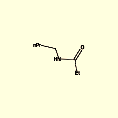 CCCCNC(=O)CC